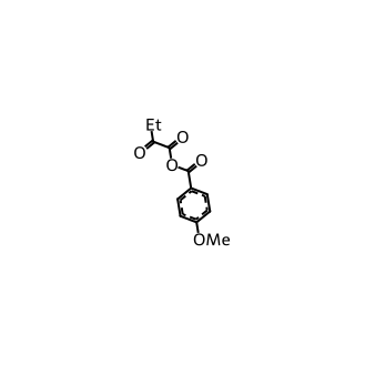 CCC(=O)C(=O)OC(=O)c1ccc(OC)cc1